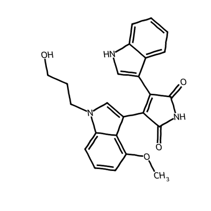 COc1cccc2c1c(C1=C(c3c[nH]c4ccccc34)C(=O)NC1=O)cn2CCCO